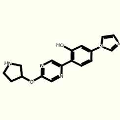 Oc1cc(-n2ccnc2)ccc1-c1cnc(OC2CCNC2)cn1